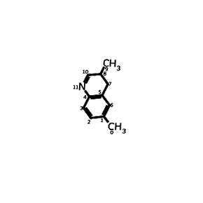 Cc1ccc2c(c1)CC(C)C=N2